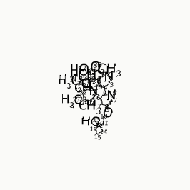 Cc1ncc(-c2ccc(OCCC3(O)CCC3)cn2)c(N2CCC(C)(C)CC2)c1[C@H](OC(C)(C)C)C(=O)O